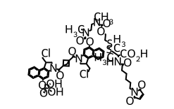 CN(CCN(C)C(=O)Oc1cc2c(c3ccccc13)C(CCl)CN2C(=O)C12CC(C(=O)N3CC(CCl)c4c3cc(OP(=O)(O)O)c3ccccc43)(C1)C2)C(=O)OCCSSC(C)(C)C(NC(=O)CCCCCN1C(=O)C=CC1=O)C(=O)O